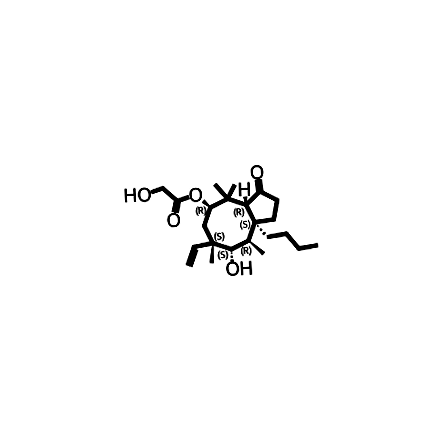 C=C[C@]1(C)C[C@@H](OC(=O)CO)C(C)(C)[C@@H]2C(=O)CC[C@@]2(CCCC)[C@@H](C)[C@@H]1O